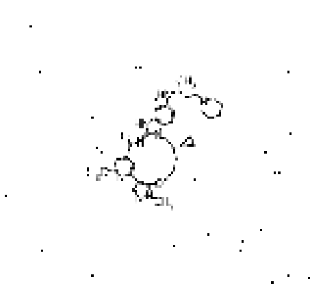 Cc1cc2cc(n1)-c1cnn(C)c1OCCC[C@@H](C1CC1)CN1/C(=N/C2=O)Nc2cc(N[C@H](C)CCN3CCCCC3)ccc21